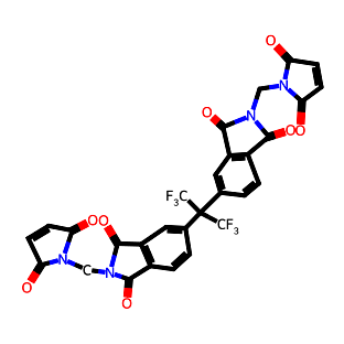 O=C1C=CC(=O)N1CN1C(=O)c2ccc(C(c3ccc4c(c3)C(=O)N(CN3C(=O)C=CC3=O)C4=O)(C(F)(F)F)C(F)(F)F)cc2C1=O